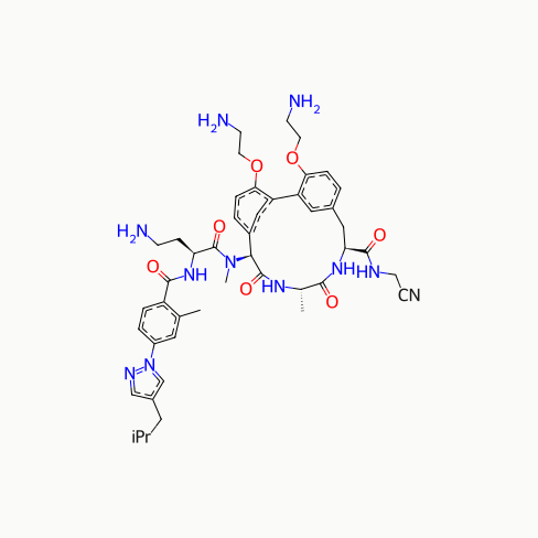 Cc1cc(-n2cc(CC(C)C)cn2)ccc1C(=O)N[C@@H](CCN)C(=O)N(C)[C@@H]1C(=O)N[C@@H](C)C(=O)N[C@H](C(=O)NCC#N)Cc2ccc(OCCN)c(c2)-c2cc1ccc2OCCN